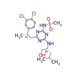 CC(C)C[C@H](CO)Nc1nc(C[C@H](C)c2ccc(Cl)c(Cl)c2)nc(NS(C)(=O)=O)n1